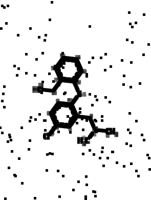 CN(C)Cc1cc(Cl)ccc1Sc1ccccc1CO